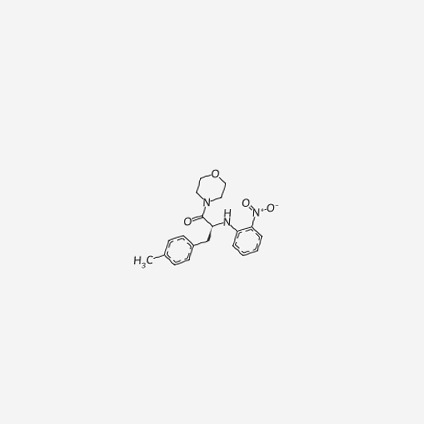 Cc1ccc(C[C@H](Nc2ccccc2[N+](=O)[O-])C(=O)N2CCOCC2)cc1